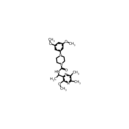 COc1cc(OC)cc(N2CCN(C(=O)NC(C)c3nc(C)c(C)nc3OC)CC2)c1